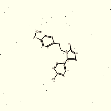 CCCCCCCCCCOc1ccc(CCn2c(C)ccc2-c2ccc(O)cc2)cc1